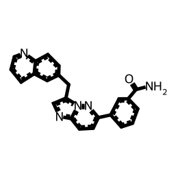 NC(=O)c1cccc(-c2ccc3ncc(Cc4ccc5ncccc5c4)n3n2)c1